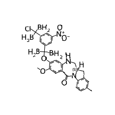 BC(B)(Cl)c1cc([N+](=O)[O-])cc(C(B)(B)Oc2cc3c(cc2OC)C(=O)N2c4ccc(C)cc4C[C@H]2CN3)c1